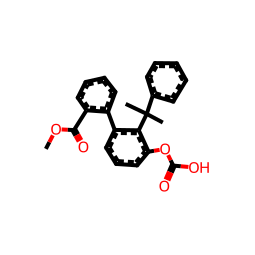 COC(=O)c1ccccc1-c1cccc(OC(=O)O)c1C(C)(C)c1ccccc1